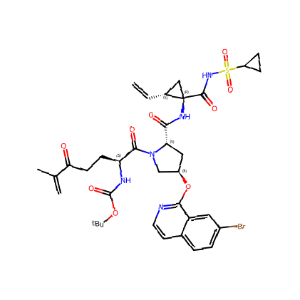 C=C[C@@H]1C[C@]1(NC(=O)[C@@H]1C[C@@H](Oc2nccc3ccc(Br)cc23)CN1C(=O)[C@H](CCC(=O)C(=C)C)NC(=O)OC(C)(C)C)C(=O)NS(=O)(=O)C1CC1